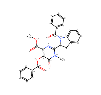 COC(=O)c1nc(C2Cc3ccccc3N2C(=O)c2ccccc2)n(C)c(=O)c1OC(=O)c1ccccc1